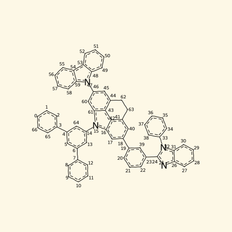 c1ccc(-c2cc(-c3ccccc3)cc(-n3c4cc(-c5cccc(-c6nc7ccccc7n6-c6ccccc6)c5)cc5c4c4c(cc(-n6c7ccccc7c7ccccc76)cc43)CC5)c2)cc1